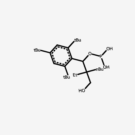 CCCCC(CC)(CO)C(OP(O)O)c1c(C(C)(C)C)cc(C(C)(C)C)cc1C(C)(C)C